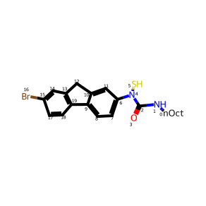 CCCCCCCCNC(=O)N(S)c1ccc2c(c1)Cc1cc(Br)ccc1-2